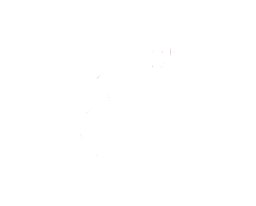 CC/C=C\C/C=C\C/C=C\C/C=C\C/C=C\CCCCOS(=O)(=O)O